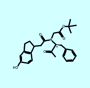 CC(=O)[C@H](Cc1ccccc1)N(CC(=O)OC(C)(C)C)C(=O)CC1CCc2cc(O)ccc21